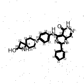 O=c1[nH]ncc2nc(-c3ccccc3)nc(Nc3ccc(N4CCC5(CC4)CC(O)N5)cc3)c12